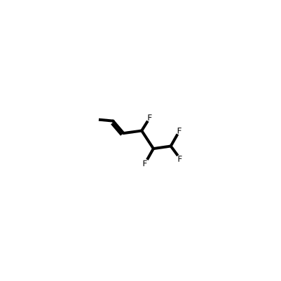 CC=CC(F)C(F)C(F)F